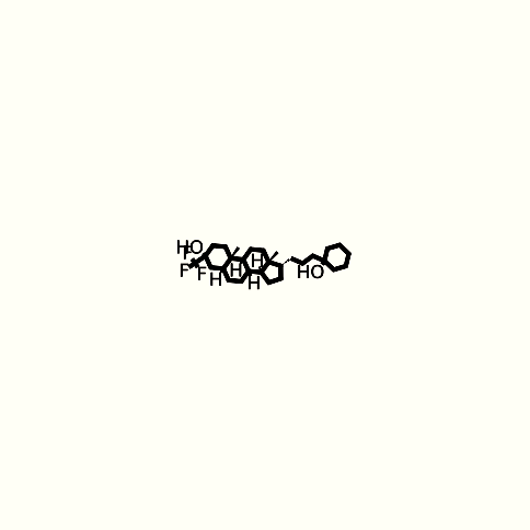 C[C@]12CC[C@@](O)(C(F)(F)F)C[C@@H]1CC[C@@H]1[C@@H]2CC[C@]2(C)[C@H](CCCC3(O)CCCCC3)CC[C@@H]12